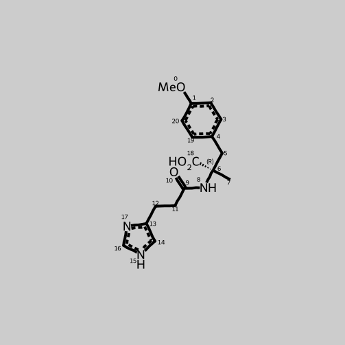 COc1ccc(C[C@@](C)(NC(=O)CCc2c[nH]cn2)C(=O)O)cc1